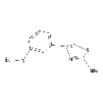 CCOc1cccc(-c2csc(C(C)(C)C)n2)c1